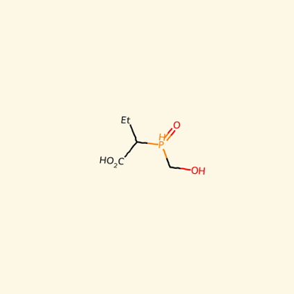 CCC(C(=O)O)[PH](=O)CO